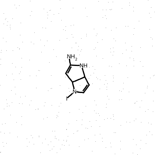 NC1=CC2C(C=CN2I)N1